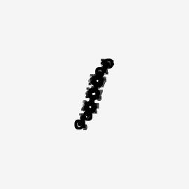 C1=C(c2ccc(OCC3CO3)cc2)CC=C(c2ccc(OCC3CO3)cc2)C1